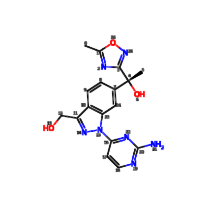 Cc1nc([C@](C)(O)c2ccc3c(CO)nn(-c4ccnc(N)n4)c3c2)no1